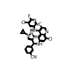 N#Cc1cccc(C(Nc2cc(Cl)c3ncc(C#N)c(Nc4cnc(F)c(Cl)c4)c3c2)C2=CN(C3CC3)NN2)c1